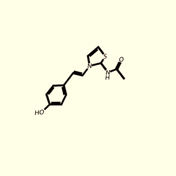 CC(=O)NC1SC=CN1/C=C/c1ccc(O)cc1